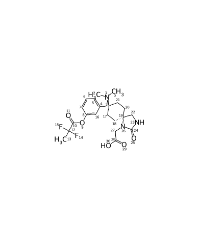 CN(C)[C@]1(c2cccc(OC(=O)C(C)(F)F)c2)CC[C@]2(CC1)CNC(=O)N2CC(=O)O